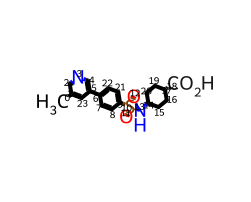 Cc1cncc(-c2ccc(S(=O)(=O)NC3CCC(C(=O)O)CC3)cc2)c1